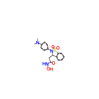 CN(C)c1ccc(N2C(CC(=O)NO)c3ccccc3S2(=O)=O)cc1